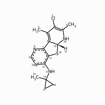 CC1=C(Cl)C(C)=C2c3ncnc(NC4(C)CC4)c3S[C@H]2N1